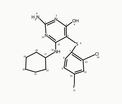 Nc1nc(O)c(Sc2ccc(F)cc2Cl)c(NC2CCCCC2)n1